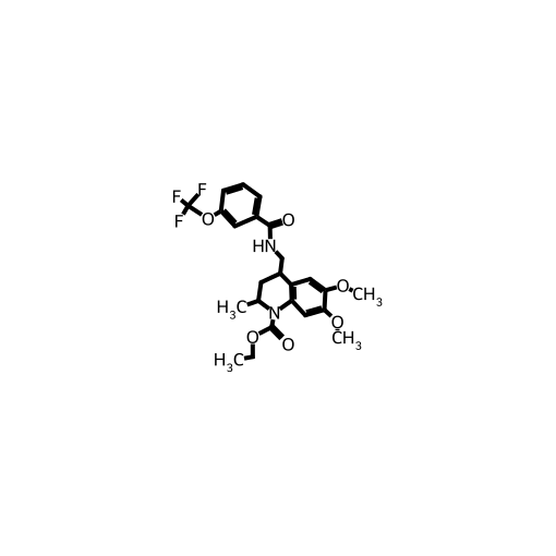 CCOC(=O)N1c2cc(OC)c(OC)cc2C(CNC(=O)c2cccc(OC(F)(F)F)c2)CC1C